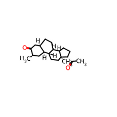 CC(=O)[C@H]1CC[C@H]2[C@@H]3CC[C@@H]4CC(=O)[C@H](C)C[C@@H]4[C@H]3CC[C@]12C